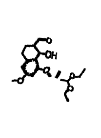 C=C.CCOC(C)OCC.COc1cc2c(c(OC)c1)C(O)C(C=O)CC2